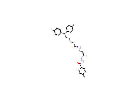 O=C(CCCCC(c1ccc(F)cc1)c1ccc(F)cc1)NC/C=C\CNC(=O)c1ccc(F)cc1